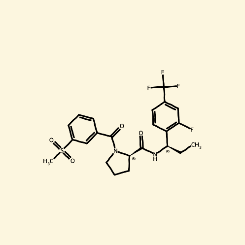 CC[C@@H](NC(=O)[C@H]1CCCN1C(=O)c1cccc(S(C)(=O)=O)c1)c1ccc(C(F)(F)F)cc1F